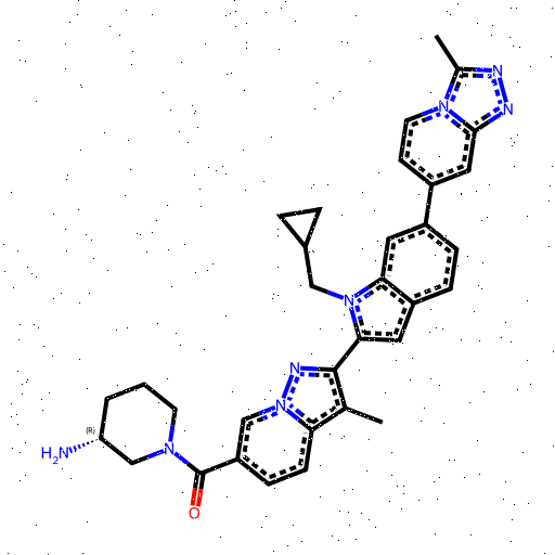 Cc1c(-c2cc3ccc(-c4ccn5c(C)nnc5c4)cc3n2CC2CC2)nn2cc(C(=O)N3CCC[C@@H](N)C3)ccc12